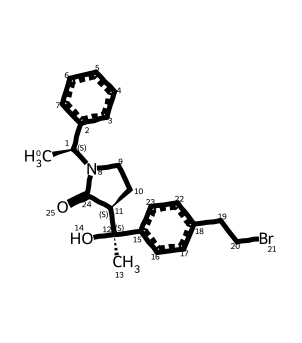 C[C@@H](c1ccccc1)N1CC[C@@H]([C@](C)(O)c2ccc(CCBr)cc2)C1=O